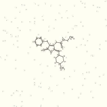 CCOC(=O)CC1=C(Cc2ccccc2)C(=O)O/C1=N\C1CCC(C)CC1